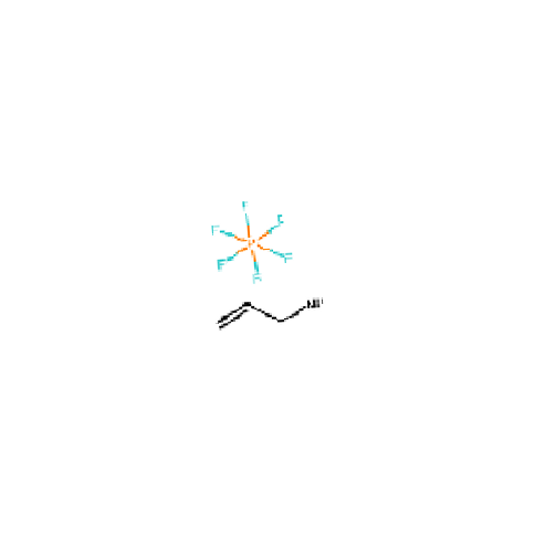 C=C[CH2][Ni+].F[P-](F)(F)(F)(F)F